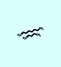 C=CCCC.C=CCCCCCC